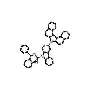 c1ccc(-c2nc(-n3c4ccccc4c4cc(-n5c6ccc7ccccc7c6c6c7ccccc7ccc65)ccc43)nc3ccccc23)cc1